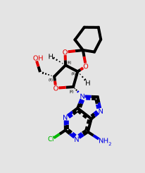 Nc1nc(Cl)nc2c1ncn2[C@@H]1O[C@H](CO)[C@H]2OC3(CCCCC3)O[C@H]21